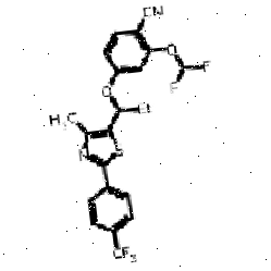 CCC(Oc1ccc(C#N)c(OC(F)F)c1)c1sc(-c2ccc(C(F)(F)F)cc2)nc1C